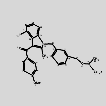 COc1ccc(C(=O)c2c(C)n(Cc3cccc(CO[C@@H](C)C(=O)O)c3)c3cccc(F)c23)cc1